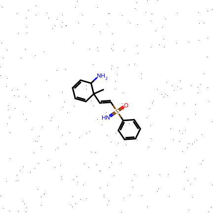 CC1(C=CS(=N)(=O)c2ccccc2)C=CC=CC1N